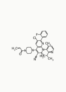 C=CC(=O)N1CCN(c2c(C#N)c(=O)n(-c3c(C)ccnc3C(C)C)c3nc(-c4ccccc4F)c(Cl)cc23)CC1